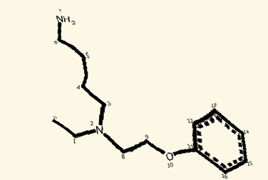 CCN(CCCCN)CCOc1cc[c]cc1